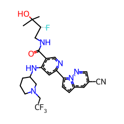 CC(C)(O)[C@H](F)CNC(=O)c1cnc(-c2ccc3cc(C#N)cnn23)cc1NC1CCCN(CC(F)(F)F)C1